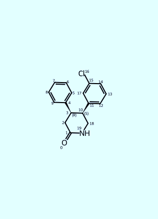 O=C1C[C@@H](c2ccccc2)[C@@H](c2cccc(Cl)c2)CN1